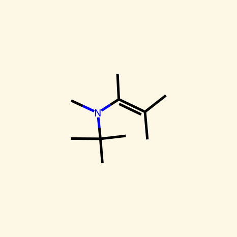 CC(C)=C(C)N(C)C(C)(C)C